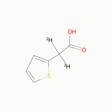 [2H]C([2H])(C(=O)O)c1cccs1